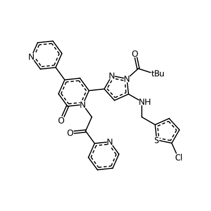 CC(C)(C)C(=O)n1nc(-c2cc(-c3cccnc3)cc(=O)n2CC(=O)c2ccccn2)cc1NCc1ccc(Cl)s1